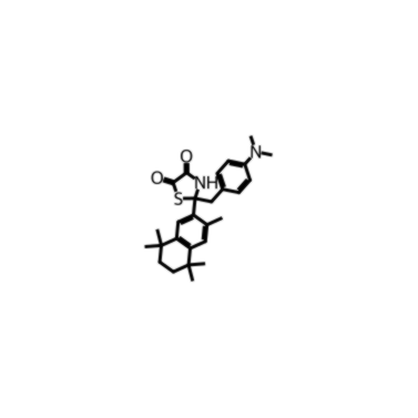 Cc1cc2c(cc1C1(Cc3ccc(N(C)C)cc3)NC(=O)C(=O)S1)C(C)(C)CCC2(C)C